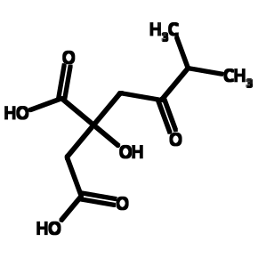 CC(C)C(=O)CC(O)(CC(=O)O)C(=O)O